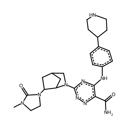 CN1CCN(C2CC3CC2N(c2nnc(C(N)=O)c(Nc4ccc(C5CCNCC5)cc4)n2)C3)C1=O